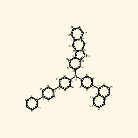 c1ccc(-c2ccc(-c3ccc(N(c4ccc(-c5cccc6ccccc56)cc4)c4cnc5c(c4)oc4cc6ccccc6cc45)cc3)cc2)cc1